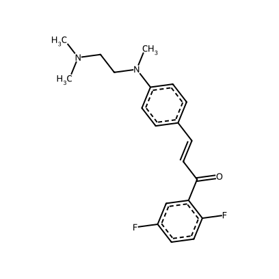 CN(C)CCN(C)c1ccc(C=CC(=O)c2cc(F)ccc2F)cc1